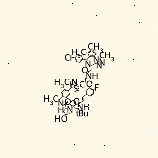 Cc1ncsc1-c1ccc([C@H](C)NC(=O)[C@@H]2C[C@@H](O)CN2C(=O)[C@@H](NC(=O)/C=C/c2ccc(F)c(O[C@@H](C)CNC(=O)C[C@@H]3N=C(c4ccc(Cl)cc4)c4c(sc(C)c4C)-n4c(C)nnc43)c2)C(C)(C)C)cc1